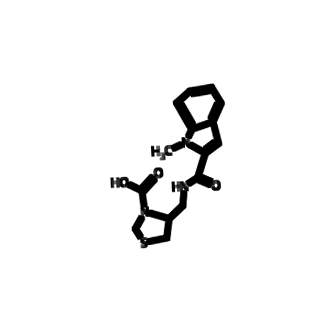 Cn1c(C(=O)NCC2CSCN2C(=O)O)cc2ccccc21